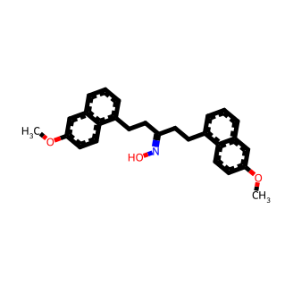 COc1ccc2c(CCC(CCc3cccc4cc(OC)ccc34)=NO)cccc2c1